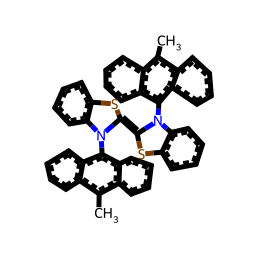 Cc1c2ccccc2c(N2/C(=C3\Sc4ccccc4N3c3c4ccccc4c(C)c4ccccc34)Sc3ccccc32)c2ccccc12